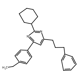 CCc1ccc(-c2cc(CCCc3ccccc3)nc(C3CCCCC3)n2)cc1